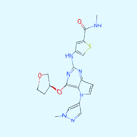 CNC(=O)c1cc(Nc2nc(O[C@H]3CCOC3)c3c(ccn3-c3cnn(C)c3)n2)cs1